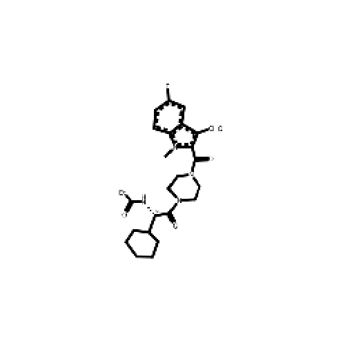 C[CH]C(=O)N[C@H](C(=O)N1CCN(C(=O)c2c(C=O)c3cc(F)ccc3n2C)CC1)C1CCCCC1